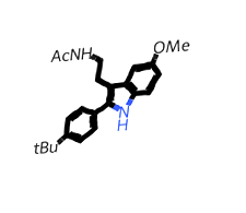 COc1ccc2[nH]c(-c3ccc(C(C)(C)C)cc3)c(CCNC(C)=O)c2c1